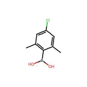 Cc1cc(Cl)cc(C)c1B(O)O